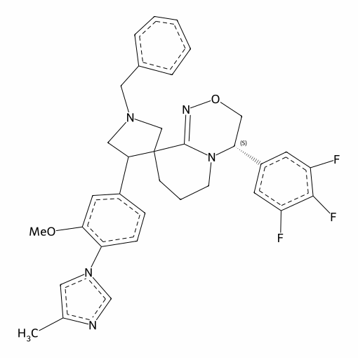 COc1cc(C2CN(Cc3ccccc3)CC23CCCN2C3=NOC[C@@H]2c2cc(F)c(F)c(F)c2)ccc1-n1cnc(C)c1